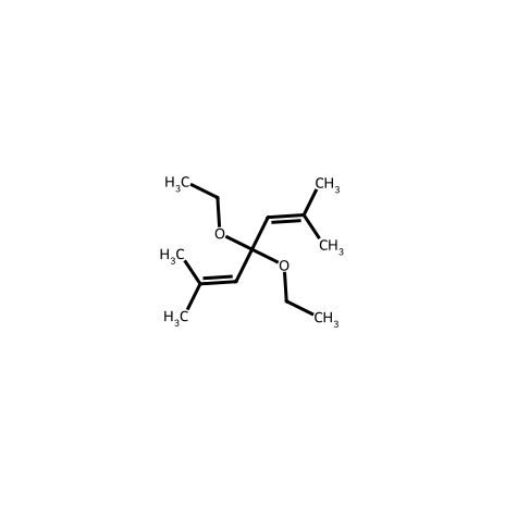 CCOC(C=C(C)C)(C=C(C)C)OCC